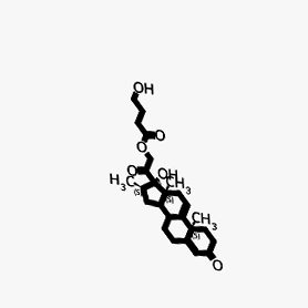 C[C@H]1CC2C3CCC4=CC(=O)CC[C@]4(C)C3=CC[C@]2(C)[C@@]1(O)C(=O)COC(=O)CCCO